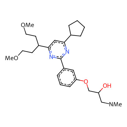 CNCC(O)COc1cccc(-c2nc(C3CCCC3)cc(C(CCOC)CCOC)n2)c1